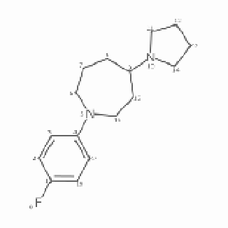 Fc1ccc(N2CCCC(N3CCCC3)CC2)cc1